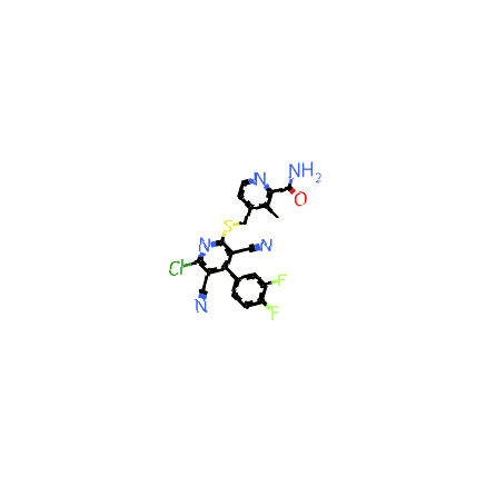 Cc1c(CSc2nc(Cl)c(C#N)c(-c3ccc(F)c(F)c3)c2C#N)ccnc1C(N)=O